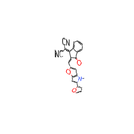 Cn1c(-c2ccco2)cc2oc(/C=C3\C(=O)c4ccccc4C3=C(C#N)C#N)cc21